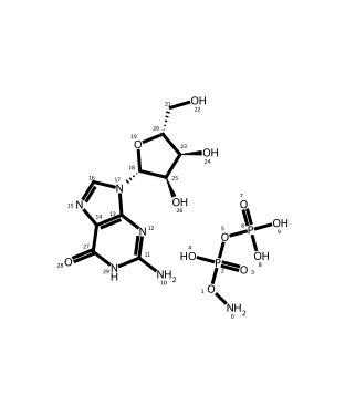 NOP(=O)(O)OP(=O)(O)O.Nc1nc2c(ncn2[C@@H]2O[C@H](CO)[C@@H](O)[C@H]2O)c(=O)[nH]1